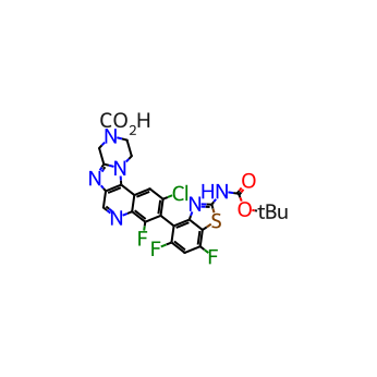 CC(C)(C)OC(=O)Nc1nc2c(-c3c(Cl)cc4c(ncc5nc6n(c54)CCN(C(=O)O)C6)c3F)c(F)cc(F)c2s1